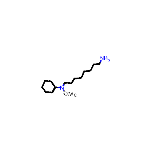 CON(CCCCCCCCN)C1CCCCC1